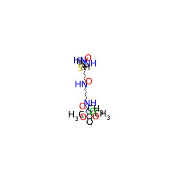 COc1c(Cl)c(/C=C(\C)C(=O)NCCCCCCNC(=O)CCCC[C@@H]2SC[C@@H]3NC(=O)N[C@@H]32)c(OC)c2ccccc12